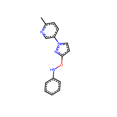 Cc1ccc(-n2ccc(ONc3ccccc3)n2)cn1